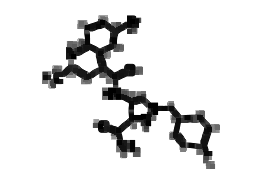 NC(=O)c1nn(Cc2ccc(F)cc2)cc1NC(=O)c1cc(C(F)(F)F)nc2ccc(Br)cc12